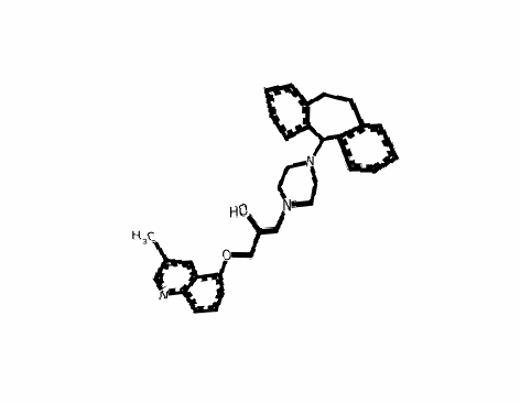 Cc1cnc2cccc(OCC(O)CN3CCN(C4c5ccccc5CCc5ccccc54)CC3)c2c1